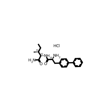 CC[C@H](C)[C@H](NC(=O)[C@@H](N)Cc1ccc(-c2ccccc2)cc1)C(N)=O.Cl